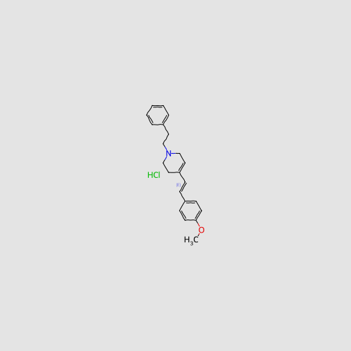 COc1ccc(/C=C/C2=CCN(CCc3ccccc3)CC2)cc1.Cl